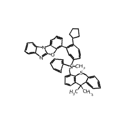 CC1(C)c2ccccc2Sc2c1cccc2[Si](C)(c1ccccc1)c1ccc(C2CCCC2)c(-c2cccc3c2oc2nc4ccccc4n23)c1